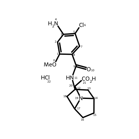 COc1cc(N)c(Cl)cc1C(=O)NC1CC2CCC(C1)N2CC(=O)O.Cl